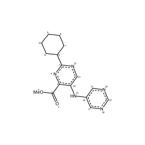 COC(=O)c1nc(C2CCCCC2)ncc1Nc1cncnc1